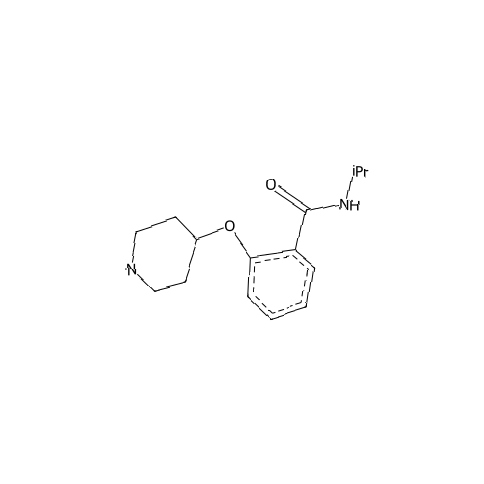 CC(C)NC(=O)c1ccccc1OC1CC[N]CC1